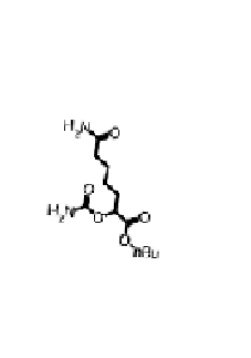 CCCCOC(=O)C(CCCCC(N)=O)OC(N)=O